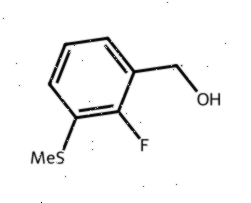 CSc1cccc([CH]O)c1F